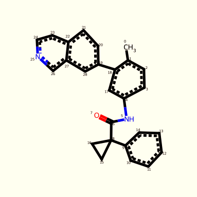 Cc1ccc(NC(=O)C2(c3ccccc3)CC2)cc1-c1ccc2ccncc2c1